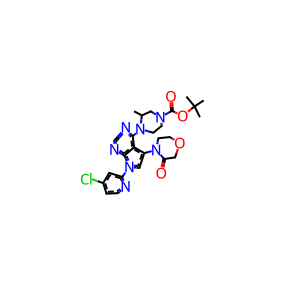 CC1CN(C(=O)OC(C)(C)C)CCN1c1ncnc2c1c(N1CCOCC1=O)cn2-c1cc(Cl)ccn1